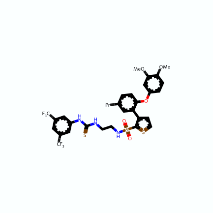 COc1ccc(Oc2ccc(C(C)C)cc2-c2ccsc2S(=O)(=O)NCCNC(=S)Nc2cc(C(F)(F)F)cc(C(F)(F)F)c2)cc1OC